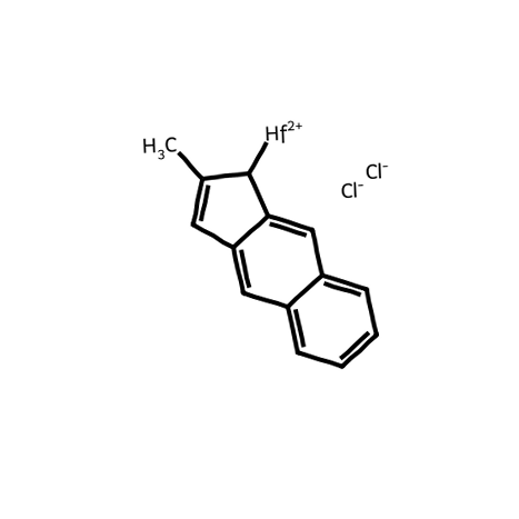 CC1=Cc2cc3ccccc3cc2[CH]1[Hf+2].[Cl-].[Cl-]